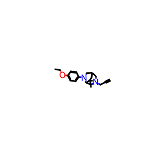 C#CCN1CC2CN(c3ccc(OCC)cc3)C(C1)C(C)(C)C2